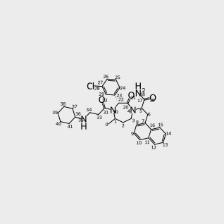 CC1CCN(C(Cc2cccc3ccccc23)C(N)=O)C(=O)[C@@H](c2cccc(Cl)c2)N1C(=O)CCNC1CCCCC1